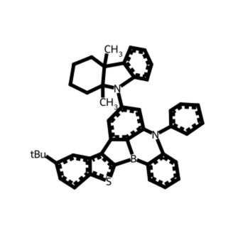 CC(C)(C)c1ccc2sc3c(c2c1)-c1cc(N2c4ccccc4C4(C)CCCCC24C)cc2c1B3c1ccccc1N2c1ccccc1